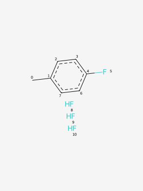 Cc1ccc(F)cc1.F.F.F